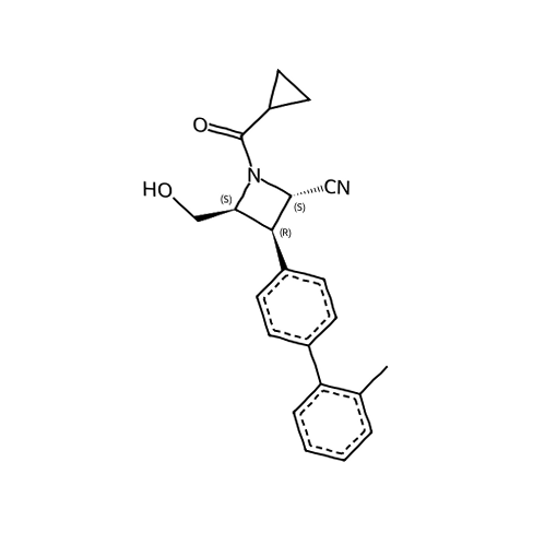 Cc1ccccc1-c1ccc([C@@H]2[C@@H](C#N)N(C(=O)C3CC3)[C@@H]2CO)cc1